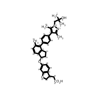 Cc1nn(CC(C)(C)O)c(C)c1-c1ccc(-c2c(C(F)(F)F)ccc3c2CC[C@H]3Oc2ccc3c(c2)OCC3CC(=O)O)cc1